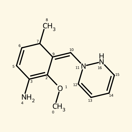 COC1=C(N)C=CC(C)C1=CN1C=CC=CN1